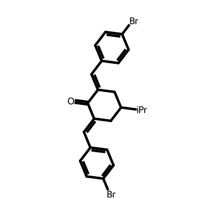 CC(C)C1C/C(=C\c2ccc(Br)cc2)C(=O)/C(=C/c2ccc(Br)cc2)C1